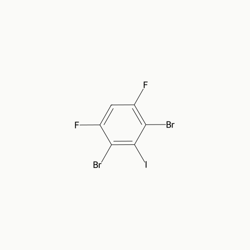 Fc1cc(F)c(Br)c(I)c1Br